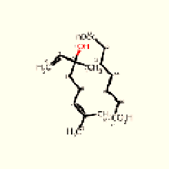 C=CC(C)(O)CCC=C(C)C.CCCCCCCCCCCCCCCC(=O)O